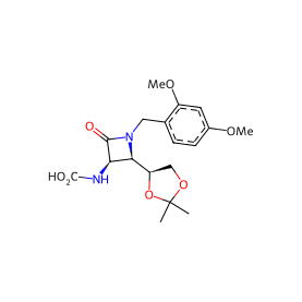 COc1ccc(CN2C(=O)[C@H](NC(=O)O)[C@@H]2[C@H]2COC(C)(C)O2)c(OC)c1